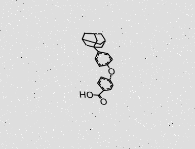 O=C(O)c1ccc(Oc2ccc(C34CC5CC(CC(C5)C3)C4)cc2)cc1